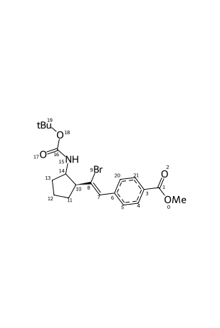 COC(=O)c1ccc(C=C(Br)[C@H]2CCCC2NC(=O)OC(C)(C)C)cc1